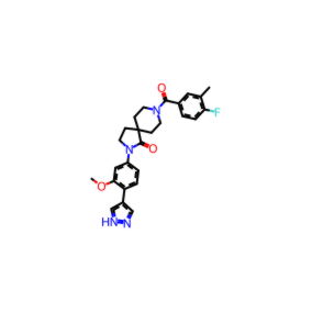 COc1cc(N2CCC3(CCN(C(=O)c4ccc(F)c(C)c4)CC3)C2=O)ccc1-c1cn[nH]c1